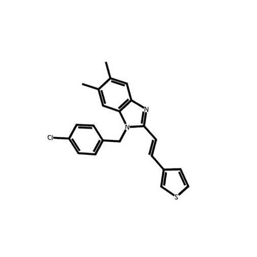 Cc1cc2nc(/C=C/c3ccsc3)n(Cc3ccc(Cl)cc3)c2cc1C